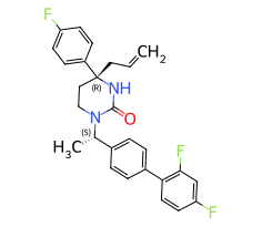 C=CC[C@]1(c2ccc(F)cc2)CCN([C@@H](C)c2ccc(-c3ccc(F)cc3F)cc2)C(=O)N1